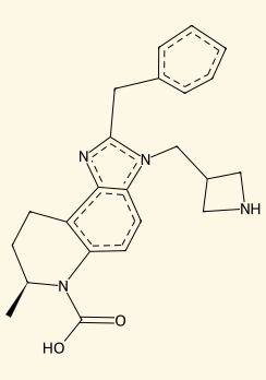 C[C@H]1CCc2c(ccc3c2nc(Cc2ccccc2)n3CC2CNC2)N1C(=O)O